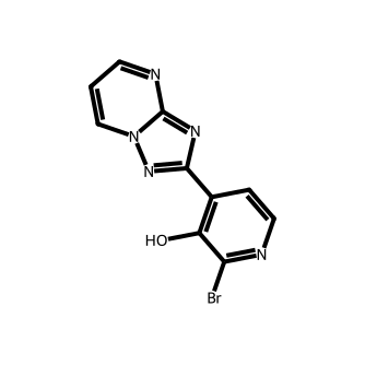 Oc1c(-c2nc3ncccn3n2)ccnc1Br